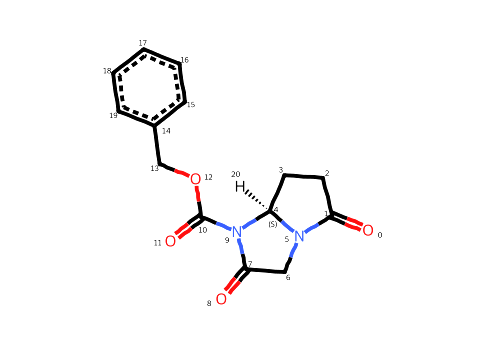 O=C1CC[C@H]2N1CC(=O)N2C(=O)OCc1ccccc1